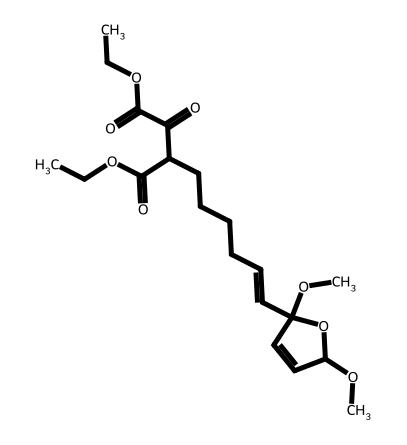 CCOC(=O)C(=O)C(CCCCC=CC1(OC)C=CC(OC)O1)C(=O)OCC